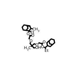 CCC(OC(=O)COCC(C)(CO)COCC(=O)OC1(CC)C(C)C=C2CCCC1C2)C1CC2CCCC(C2)C1